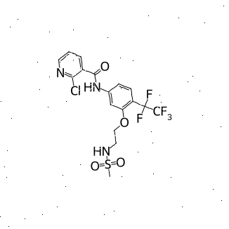 CS(=O)(=O)NCCOc1cc(NC(=O)c2cccnc2Cl)ccc1C(F)(F)C(F)(F)F